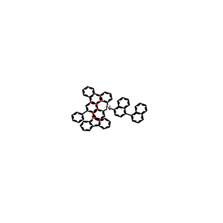 c1ccc(-c2ccc(-c3ccccc3N(c3ccccc3-c3ccc4ccccc4c3)c3ccc(-c4cccc5ccccc45)c4ccccc34)cc2-n2c3ccccc3c3ccccc32)cc1